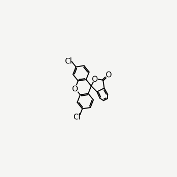 O=C1OC2(c3ccc(Cl)cc3Oc3cc(Cl)ccc32)c2ccccc21